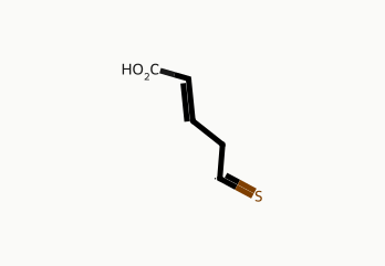 O=C(O)C=CC[C]=S